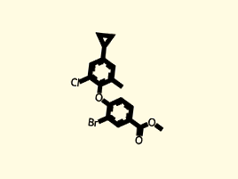 COC(=O)c1ccc(Oc2c(C)cc(C3CC3)cc2Cl)c(Br)c1